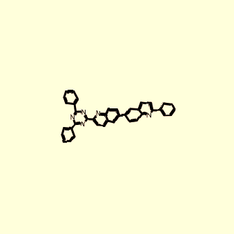 c1ccc(-c2ccc3cc(-c4ccc5nc(-c6nc(-c7ccccc7)nc(-c7ccccc7)n6)ccc5c4)ccc3n2)cc1